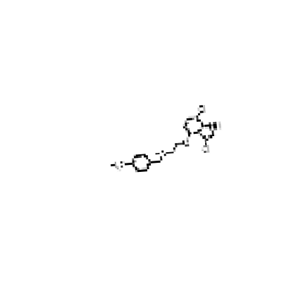 Cc1ccc(CNCCOc2ccc(Cl)c3[nH]cc(Cl)c23)cc1